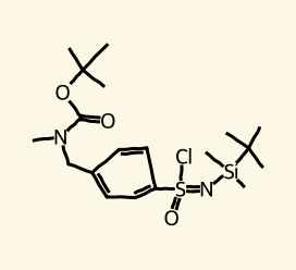 CN(Cc1ccc(S(=O)(Cl)=N[Si](C)(C)C(C)(C)C)cc1)C(=O)OC(C)(C)C